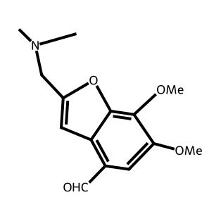 COc1cc(C=O)c2cc(CN(C)C)oc2c1OC